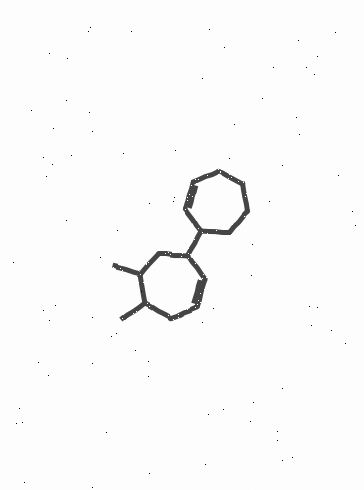 CC1CC=CC(C2C=CCCCC2)CC1C